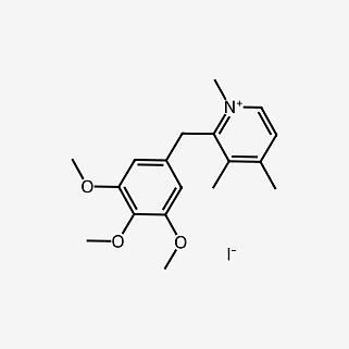 COc1cc(Cc2c(C)c(C)cc[n+]2C)cc(OC)c1OC.[I-]